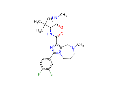 CNC(=O)[C@@H](NC(=O)c1nc(-c2ccc(F)c(F)c2)n2c1CN(C)CCC2)C(C)(C)C